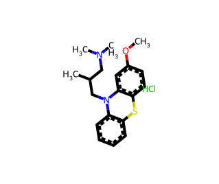 COc1ccc2c(c1)N(CC(C)CN(C)C)c1ccccc1S2.Cl